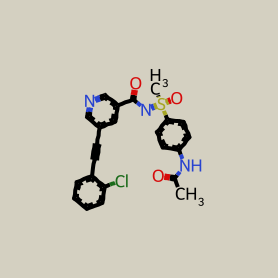 CC(=O)Nc1ccc(S(C)(=O)=NC(=O)c2cncc(C#Cc3ccccc3Cl)c2)cc1